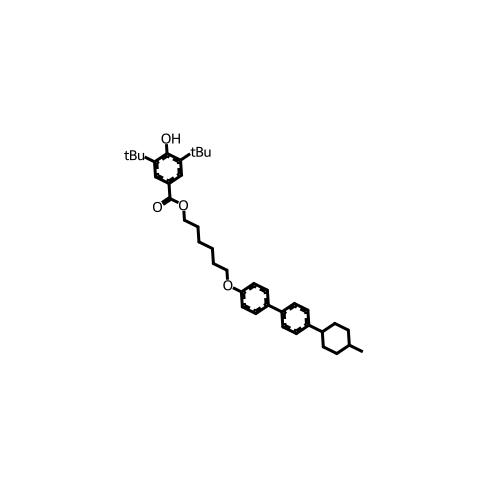 CC1CCC(c2ccc(-c3ccc(OCCCCCCOC(=O)c4cc(C(C)(C)C)c(O)c(C(C)(C)C)c4)cc3)cc2)CC1